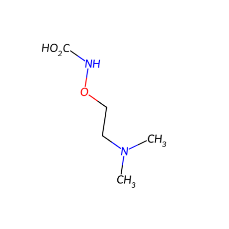 CN(C)CCONC(=O)O